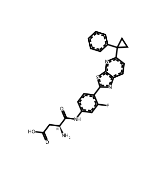 N[C@@H](CC(=O)O)C(=O)Nc1ccc(-c2nc3ccc(C4(c5ccccc5)CC4)nc3s2)c(F)c1